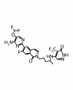 CC(CCCn1ccc2cc(-c3ncc(OC(F)F)c(N)n3)c(F)cc2c1=O)Nc1cn[nH]c(=O)c1C(F)(F)F